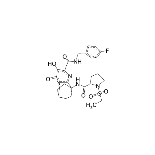 CCS(=O)(=O)N1CCCC1C(=O)NC12CCC(CC1)Cn1c2nc(C(=O)NCc2ccc(F)cc2)c(O)c1=O